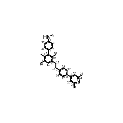 CNc1ccc(-c2c(C)c(C)cc(CCc3ccc(-c4cc(C)nc(C)c4)cc3)c2C)cc1